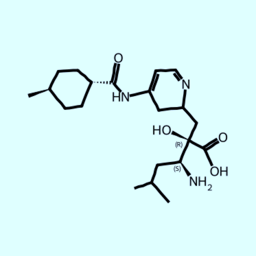 CC(C)C[C@H](N)[C@](O)(CC1CC(NC(=O)[C@H]2CC[C@H](C)CC2)=CC=N1)C(=O)O